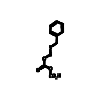 O=C(O)OC(=O)OSSCc1ccccc1